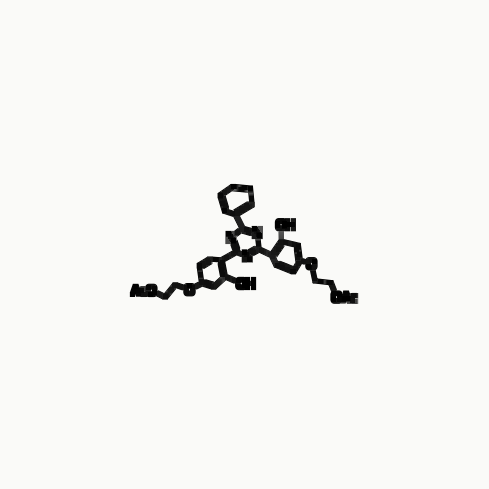 CC(=O)OCCOc1ccc(-c2nc(-c3ccccc3)nc(-c3ccc(OCCOC(C)=O)cc3O)n2)c(O)c1